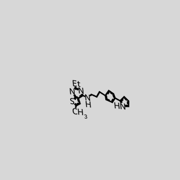 CCc1nc(NCCCc2ccc(-c3ccc[nH]3)cc2)c2cc(C)sc2n1